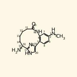 CNc1ccc2c(c1)NC(=O)CCCC[C@H](N)c1nc-2c[nH]1